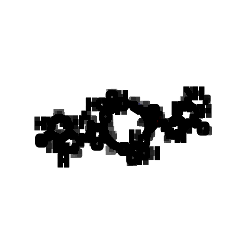 Nc1nc2c(ncn2C2=C3O[PH](O)(O)OCc4oc(N5CN[C@H]6C(=O)NCNC65)c(F)c4O[PH](O)(O)O/C=C(/O2)[C@H]3F)c(=O)[nH]1